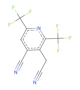 N#CCc1c(C#N)cc(C(F)(F)F)nc1C(F)(F)F